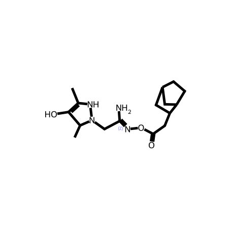 CC1=C(O)C(C)N(C/C(N)=N/OC(=O)CC2CC3CCC2C3)N1